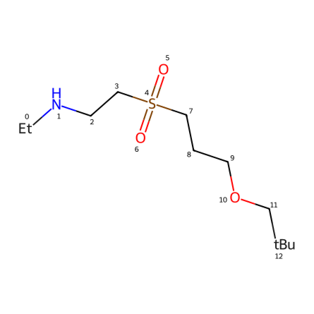 CCNCCS(=O)(=O)CCCOCC(C)(C)C